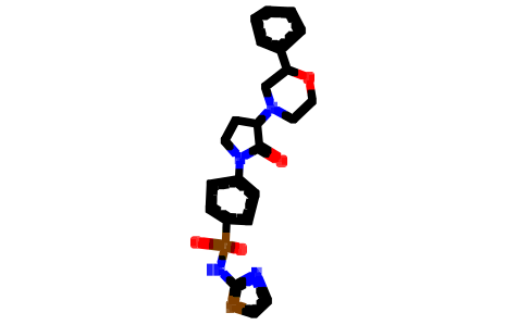 O=C1C(N2CCOC(c3ccccc3)C2)CCN1c1ccc(S(=O)(=O)Nc2nccs2)cc1